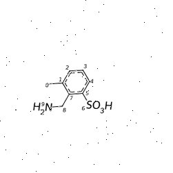 Cc1cccc(S(=O)(=O)O)c1CN